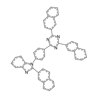 c1ccc2cc(-c3nc(-c4ccc(-n5c(-c6ccc7ccccc7c6)nc6ccccc65)cc4)nc(-c4ccc5ccccc5c4)n3)ccc2c1